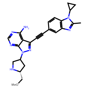 COC[C@H]1CC(n2nc(C#Cc3ccc4c(c3)nc(C)n4C3CC3)c3c(N)ncnc32)CN1